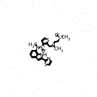 CN(CC[S+](C)[O-])Cc1sccc1[S+]([O-])N(C)c1cccc2cc(-c3nccs3)[nH]c12